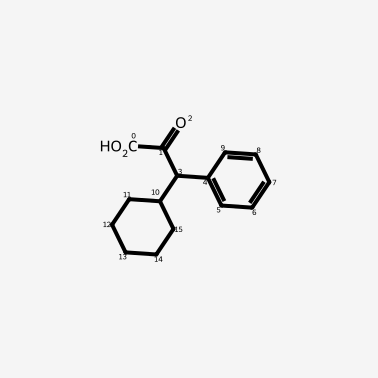 O=C(O)C(=O)C(c1ccccc1)C1CCCCC1